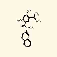 CC(C)c1cc(C(=O)N(C)c2cnc3ccccc3c2)c(O)cc1O